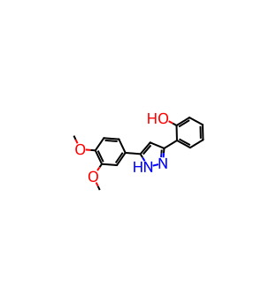 COc1ccc(-c2cc(-c3ccccc3O)n[nH]2)cc1OC